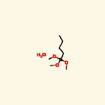 CCCC[Si](OC)(OC)OC.O